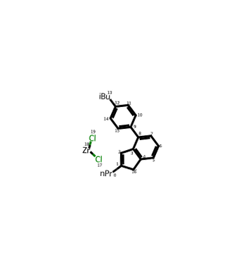 CCCC1=Cc2c(cccc2-c2ccc(C(C)CC)cc2)[CH]1.[Cl][Zr][Cl]